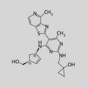 Cc1nc(NCC2(O)CC2)nc(N[C@H]2C=C[C@@H](CO)C2)c1-c1nc2c(C)nccc2s1